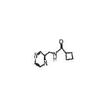 O=C(NCc1cnccn1)C1CCC1